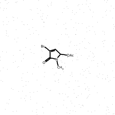 CC(=O)OC1C=C(Br)C(=O)N1C